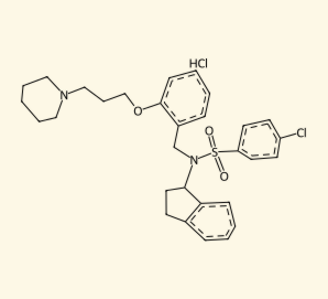 Cl.O=S(=O)(c1ccc(Cl)cc1)N(Cc1ccccc1OCCCN1CCCCC1)C1CCc2ccccc21